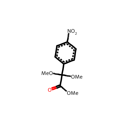 COC(=O)C(OC)(OC)c1ccc([N+](=O)[O-])cc1